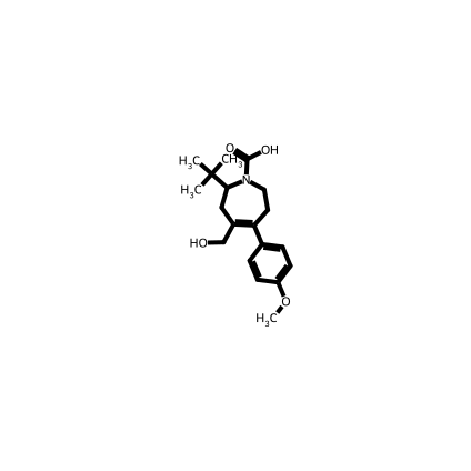 COc1ccc(C2=C(CO)CC(C(C)(C)C)N(C(=O)O)CC2)cc1